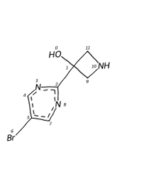 OC1(c2ncc(Br)cn2)CNC1